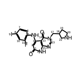 O=c1cc(Nc2ccc(I)cc2F)c2c(=O)n(CC3CCNC3)cnc2[nH]1